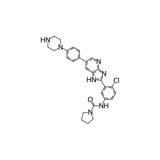 O=C(Nc1ccc(Cl)c(-c2nc3ncc(-c4ccc(N5CCNCC5)cc4)cc3[nH]2)c1)N1CCCC1